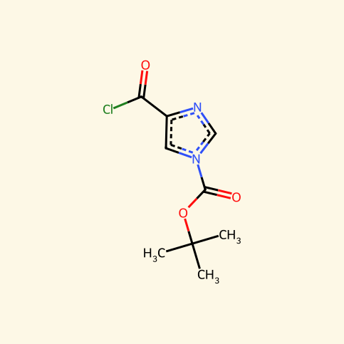 CC(C)(C)OC(=O)n1cnc(C(=O)Cl)c1